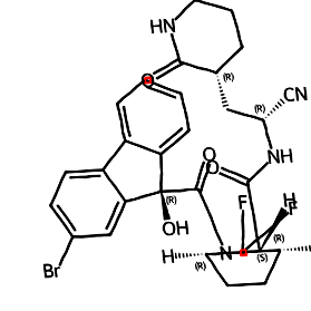 N#C[C@@H](C[C@H]1CCCNC1=O)NC(=O)[C@@H]1[C@H]2CC[C@H](CC2(F)F)N1C(=O)[C@@]1(O)c2ccccc2-c2ccc(Br)cc21